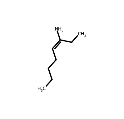 CCCC/C=C(/N)CC